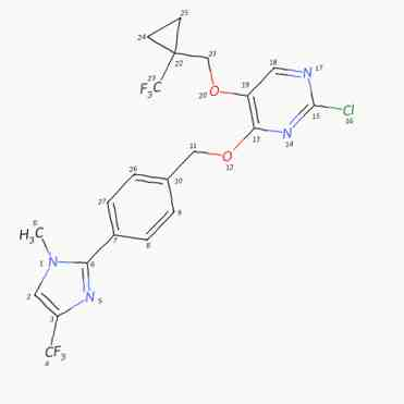 Cn1cc(C(F)(F)F)nc1-c1ccc(COc2nc(Cl)ncc2OCC2(C(F)(F)F)CC2)cc1